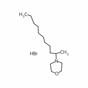 Br.CCCCCCCCCC(C)N1CCOCC1